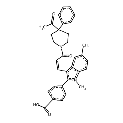 CC(=O)C1(c2ccccc2)CCN(C(=O)/C=C\c2c(-c3ccc(C(=O)O)cc3)n(C)c3ccc(C)cc23)CC1